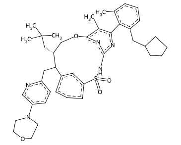 Cc1cccc(CC2CCCC2)c1-c1nc2nc(c1C)OC[C@@H](CC(C)(C)C)C(Cc1ccc(N3CCOCC3)cn1)c1cccc(c1)S(=O)(=O)N2